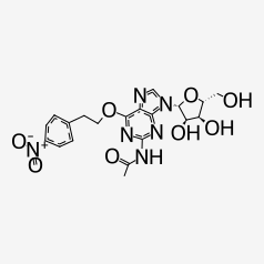 CC(=O)Nc1nc(OCCc2ccc([N+](=O)[O-])cc2)c2ncn([C@@H]3O[C@H](CO)[C@@H](O)[C@H]3O)c2n1